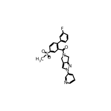 CS(=O)(=O)c1ccc(-c2cccc(F)c2)c(C(=O)N2Cc3cn(-c4cccnc4)nc3C2)c1